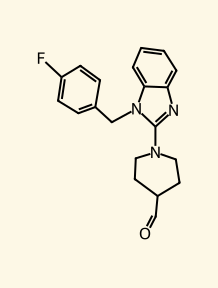 O=CC1CCN(c2nc3ccccc3n2Cc2ccc(F)cc2)CC1